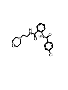 O=C(Nc1ccccc1C(=O)NCCN1CCOCC1)c1ccc(Cl)cc1